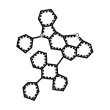 c1ccc(-c2c3ccccc3c(-c3cc4cccc5oc6c(c3cc3c6c6ccccc6n3-c3ccccc3)c45)c3ccccc23)cc1